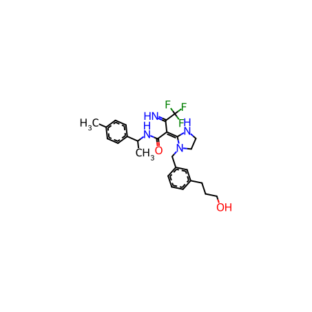 Cc1ccc(C(C)NC(=O)/C(C(=N)C(F)(F)F)=C2/NCCN2Cc2cccc(CCCO)c2)cc1